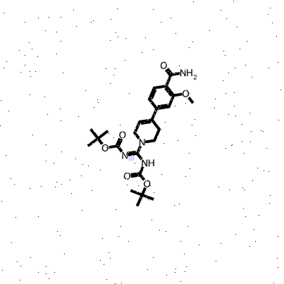 COc1cc(C2=CCN(/C(=N\C(=O)OC(C)(C)C)NC(=O)OC(C)(C)C)CC2)ccc1C(N)=O